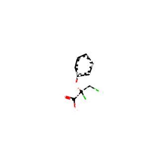 O=C(O)C(Cl)(CCl)Oc1ccccc1